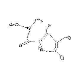 CON(C)C(=O)c1[nH]c(Cl)c(Cl)c1Br